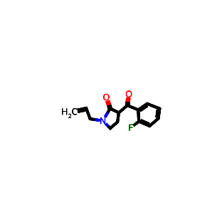 C=CCN1CCC(C(=O)c2ccccc2F)C1=O